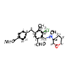 COc1ccc(Cc2cc(C=O)c(CN(C)C3CCCOC3)c(Cl)c2C)cc1